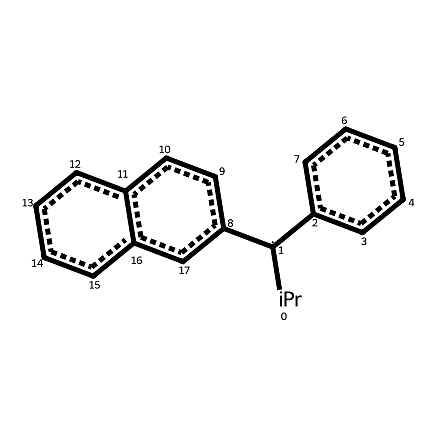 CC(C)[C](c1ccccc1)c1ccc2ccccc2c1